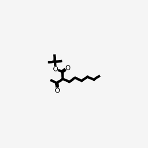 CCCCCCC(C(C)=O)C(=O)OC(C)(C)C